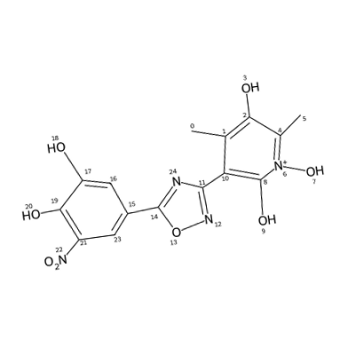 Cc1c(O)c(C)[n+](O)c(O)c1-c1noc(-c2cc(O)c(O)c([N+](=O)[O-])c2)n1